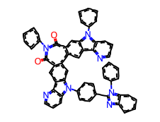 O=c1c2cc3c(cc2c2cc4c(cc2c(=O)n1-c1ccccc1)c1ncccc1n4-c1ccc(-c2nc4ccccc4n2-c2ccccc2)cc1)c1ncccc1n3-c1ccccc1